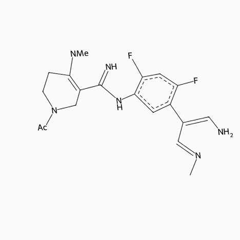 C/N=C/C(=C\N)c1cc(NC(=N)C2=C(NC)CCN(C(C)=O)C2)c(F)cc1F